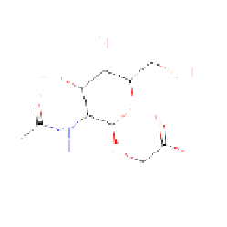 CC(=O)NC1C(O)[C@H](O)C(CO)O[C@H]1O[C@@H](C)C(=O)O